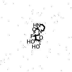 O=C1NCCCN1C1O[C@H](CO)[C@@H](O)C1(F)F